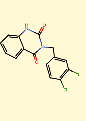 O=c1[nH]c2ccccc2c(=O)n1Cc1ccc(Cl)c(Cl)c1